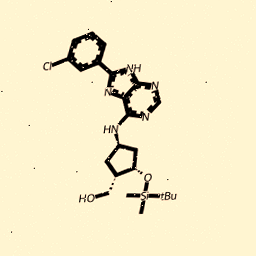 CC(C)(C)[Si](C)(C)O[C@H]1C[C@H](Nc2ncnc3[nH]c(-c4cccc(Cl)c4)nc23)C[C@H]1CO